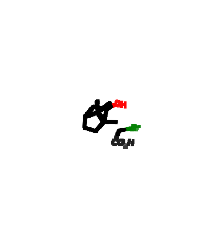 CC1(C)C2CCC1(C)C(O)C2.O=C(O)CBr